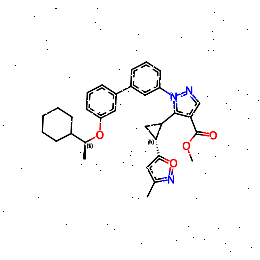 COC(=O)c1cnn(-c2cccc(-c3cccc(O[C@@H](C)C4CCCCC4)c3)c2)c1C1C[C@H]1c1cc(C)no1